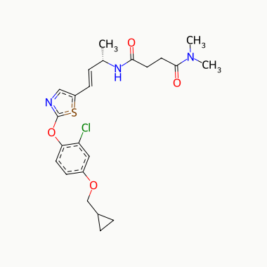 C[C@@H](/C=C/c1cnc(Oc2ccc(OCC3CC3)cc2Cl)s1)NC(=O)CCC(=O)N(C)C